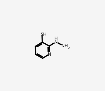 NNc1ncccc1S